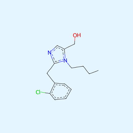 CCCCn1c(CO)cnc1Cc1ccccc1Cl